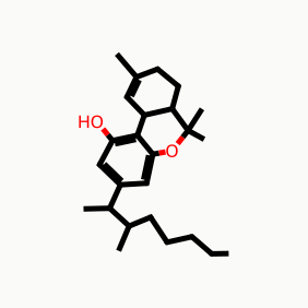 CCCCCC(C)C(C)c1cc(O)c2c(c1)OC(C)(C)C1CCC(C)=CC21